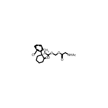 CC(=O)NCC(=O)OCOC(=O)N(C)[C@@]1(c2ccccc2Cl)CCCCC1=O